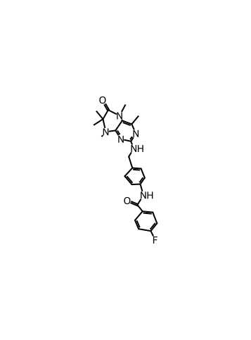 Cc1nc(NCc2ccc(NC(=O)c3ccc(F)cc3)cc2)nc2c1N(C)C(=O)C(C)(C)N2C